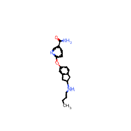 CCCCNC1Cc2ccc(Oc3ccc(C(N)=O)cn3)cc2C1